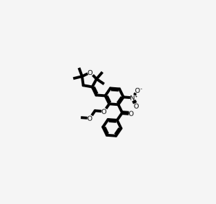 COCOc1c(C=C2CC(C)(C)OC2(C)C)ccc([N+](=O)[O-])c1C(=O)c1ccccc1